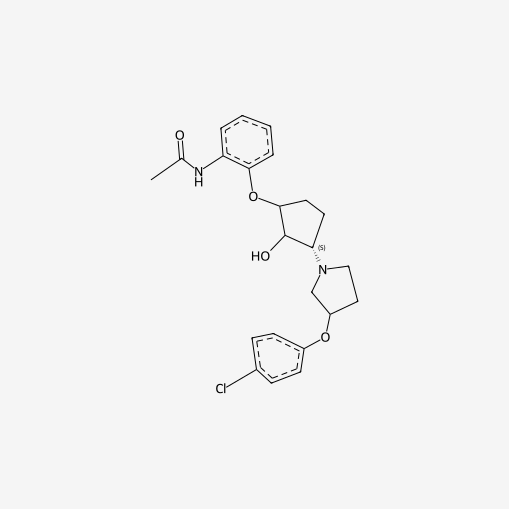 CC(=O)Nc1ccccc1OC1CC[C@H](N2CCC(Oc3ccc(Cl)cc3)C2)C1O